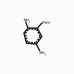 CCCC(C)c1cc(N)ccc1N